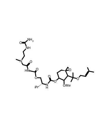 COC1C(OC(=O)N[C@@H](COC(=O)NC(=O)CN(C)CCNC(N)=O)C(C)C)CC[C@]2(CO2)C1C(C)(C)OCC=C(C)C